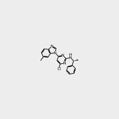 Cc1ccc2ncn(-c3cc(Cl)nc(N[C@@H](C)c4ccccc4)n3)c2c1